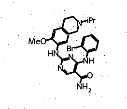 COc1cc2c(cc1Nc1ncc(C(N)=O)c(Nc3ccccc3Br)n1)CN(C(C)C)CC2